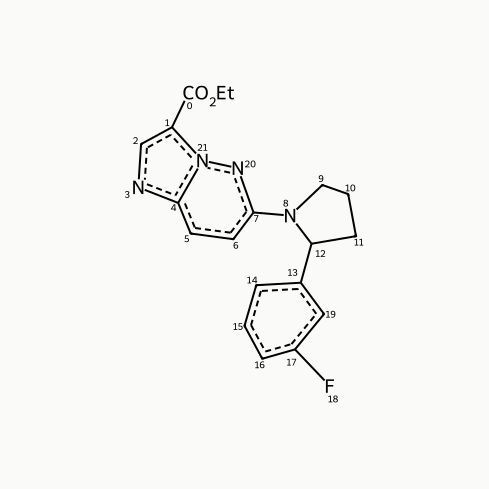 CCOC(=O)c1cnc2ccc(N3CCCC3c3cccc(F)c3)nn12